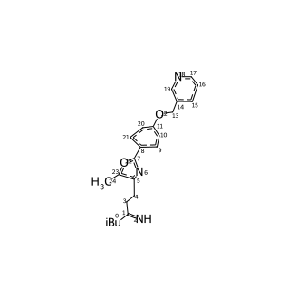 CCC(C)C(=N)CCc1nc(-c2ccc(OCc3cccnc3)cc2)oc1C